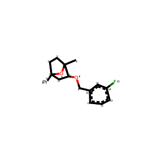 CC(C)C12CCC(C)(O1)C(OCc1cccc(F)c1)C2